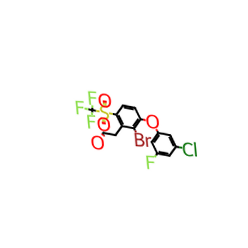 O=CCc1c(S(=O)(=O)C(F)(F)F)ccc(Oc2cc(F)cc(Cl)c2)c1Br